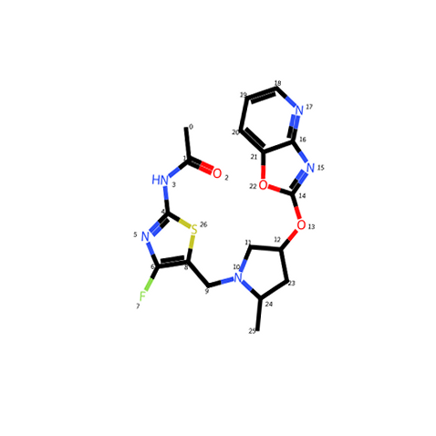 CC(=O)Nc1nc(F)c(CN2CC(Oc3nc4ncccc4o3)CC2C)s1